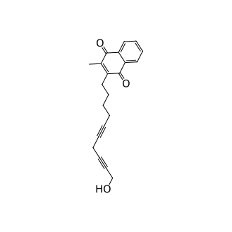 CC1=C(CCCCC#CCC#CCO)C(=O)c2ccccc2C1=O